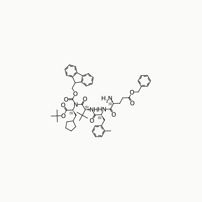 Cc1ccccc1C[C@H](NC(=O)[C@@H](N)CCC(=O)OCc1ccccc1)C(=O)N[C@H](C(=O)N(C(=O)OCC1c2ccccc2-c2ccccc21)[C@@H](CC1CCCC1)C(=O)OC(C)(C)C)C(C)(C)C